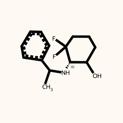 CC(N[C@H]1C(O)CCCC1(F)F)c1ccccc1